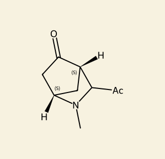 CC(=O)C1[C@@H]2C[C@@H](CC2=O)N1C